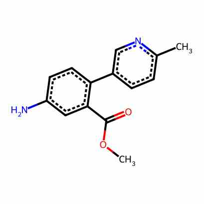 COC(=O)c1cc(N)ccc1-c1ccc(C)nc1